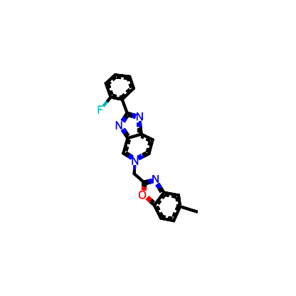 Cc1ccc2oc(Cn3ccc4nc(-c5ccccc5F)nc-4c3)nc2c1